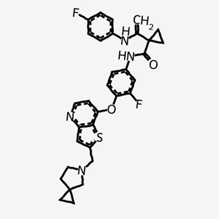 C=C(Nc1ccc(F)cc1)C1(C(=O)Nc2ccc(Oc3ccnc4cc(CN5CCC6(CC6)C5)sc34)c(F)c2)CC1